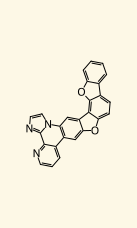 c1ccc2c(c1)oc1c2ccc2oc3cc4c5cccnc5c5nccn5c4cc3c21